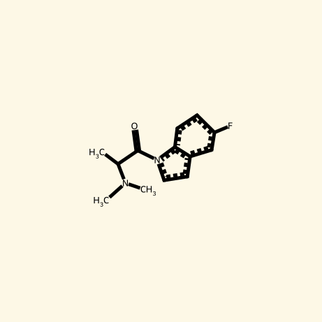 CC(C(=O)n1ccc2cc(F)ccc21)N(C)C